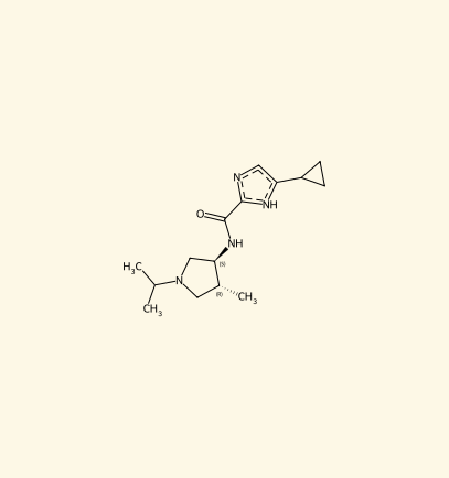 CC(C)N1C[C@@H](C)[C@H](NC(=O)c2ncc(C3CC3)[nH]2)C1